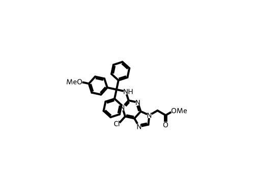 COC(=O)Cn1cnc2c(Cl)nc(NC(c3ccccc3)(c3ccccc3)c3ccc(OC)cc3)nc21